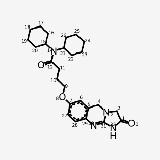 O=C1CN2Cc3cc(OCCCC(=O)N(C4CCCCC4)C4CCCCC4)ccc3N=C2N1